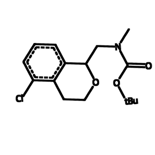 CN(CC1OCCc2c(Cl)cccc21)C(=O)OC(C)(C)C